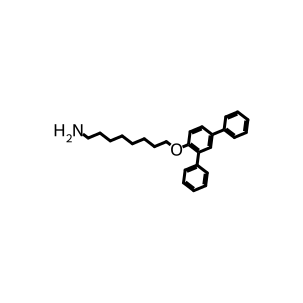 NCCCCCCCCOc1ccc(-c2ccccc2)cc1-c1ccccc1